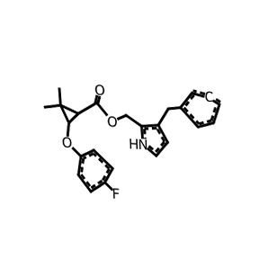 CC1(C)C(Oc2ccc(F)cc2)C1C(=O)OCc1[nH]ccc1Cc1ccccc1